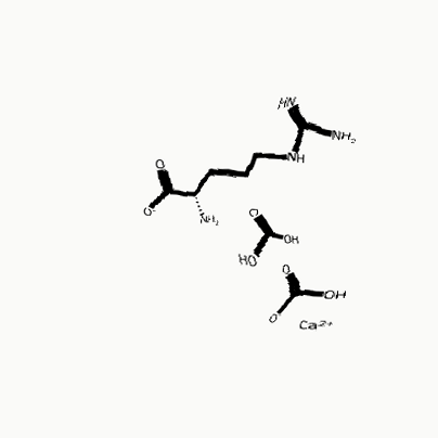 N=C(N)NCCC[C@H](N)C(=O)[O-].O=C(O)O.O=C([O-])O.[Ca+2]